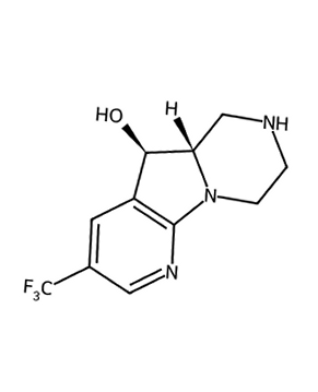 O[C@@H]1c2cc(C(F)(F)F)cnc2N2CCNC[C@@H]12